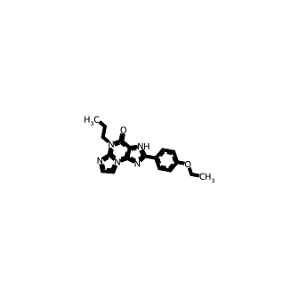 CCCn1c(=O)c2[nH]c(-c3ccc(OCC)cc3)nc2n2ccnc12